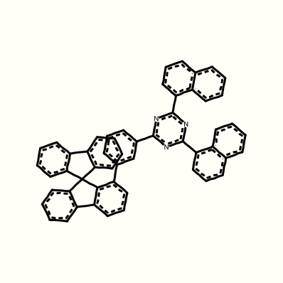 c1cc(-c2nc(-c3cccc4ccccc34)nc(-c3cccc4ccccc34)n2)cc(-c2cccc3c2C2(c4ccccc4-c4ccccc42)c2ccccc2-3)c1